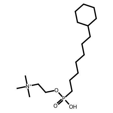 C[N+](C)(C)CCOP(=O)(O)CCCCCCCC1CCCCC1